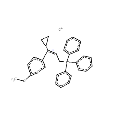 FC(F)(F)Oc1ccc(/C(=C\C[P+](c2ccccc2)(c2ccccc2)c2ccccc2)C2CC2)cc1.[Cl-]